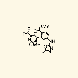 COC(=O)c1ccc(Nc2nnc(C)o2)cc1-c1cc(C(F)F)ncc1OC